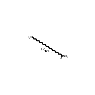 CCCCCCCCCCCCCCCCCCCCC(N)=O.CCO